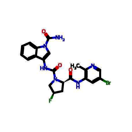 Cc1ncc(Br)cc1NC(=O)[C@@H]1C[C@@H](F)CN1C(=O)Nc1cn(C(N)=O)c2ccccc12